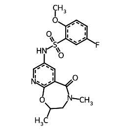 COc1ccc(F)cc1S(=O)(=O)Nc1cnc2c(c1)C(=O)N(C)CC(C)O2